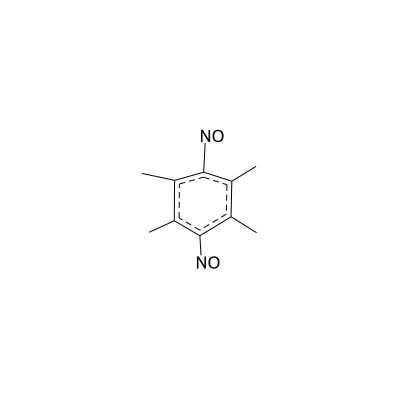 Cc1c(C)c(N=O)c(C)c(C)c1N=O